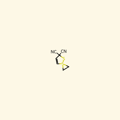 N#CC1(C#N)C=CS2(CC2)S1